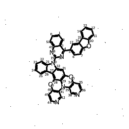 c1ccc2c(-c3ccc4oc5ccccc5c4c3)nc(-n3c4ccccc4c4c5c6c(cc43)Oc3ccncc3N6c3cnccc3O5)nc2c1